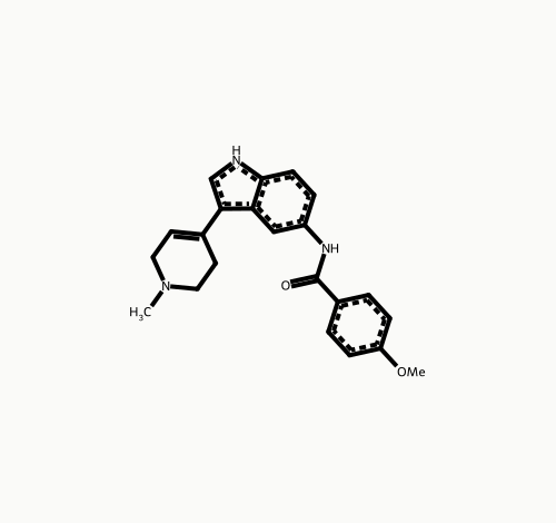 COc1ccc(C(=O)Nc2ccc3[nH]cc(C4=CCN(C)CC4)c3c2)cc1